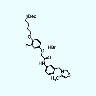 Br.CCCCCCCCCCCCCCOc1ccc(OCC(=O)Nc2cccc(CN3CSC=C3C)c2)cc1F